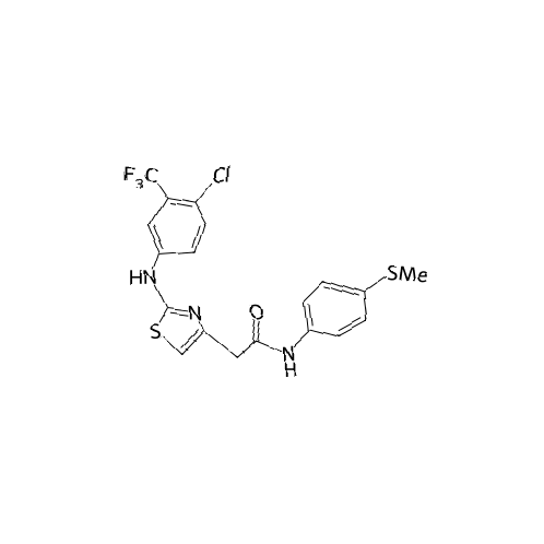 CSc1ccc(NC(=O)Cc2csc(Nc3ccc(Cl)c(C(F)(F)F)c3)n2)cc1